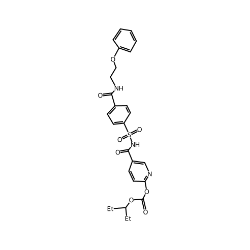 CCC(CC)OC(=O)Oc1ccc(C(=O)NS(=O)(=O)c2ccc(C(=O)NCCOc3ccccc3)cc2)cn1